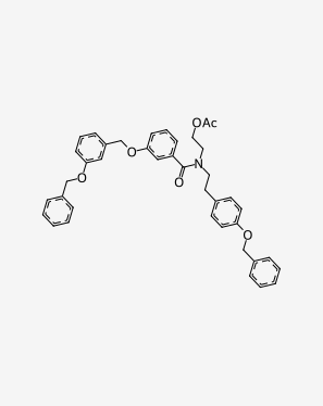 CC(=O)OCCN(CCc1ccc(OCc2ccccc2)cc1)C(=O)c1cccc(OCc2cccc(OCc3ccccc3)c2)c1